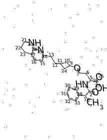 CC(C(=O)NC(CCOC1CC(CCc2ccc3c(n2)NCCC3)C1)C(=O)O)c1ccccc1